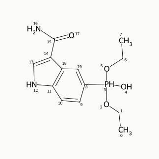 CCO[PH](O)(OCC)c1ccc2[nH]cc(C(N)=O)c2c1